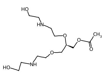 CC(=O)OC[C@@H](COCCNCCO)OCCNCCO